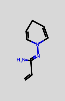 C=CC(N)=NN1C=CCC=C1